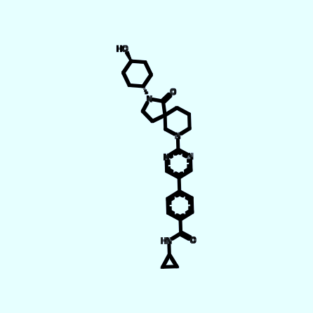 O=C(NC1CC1)c1ccc(-c2cnc(N3CCCC4(CCN([C@H]5CC[C@H](O)CC5)C4=O)C3)nc2)cc1